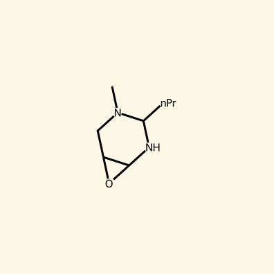 CCCC1NC2OC2CN1C